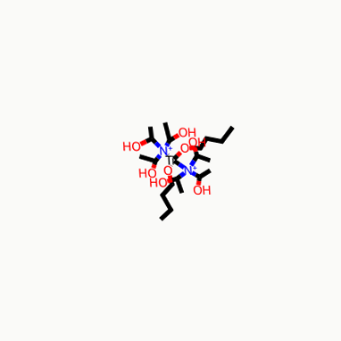 CCCC[O][Ti]([O]CCCC)([N+](C(C)O)(C(C)O)C(C)O)[N+](C(C)O)(C(C)O)C(C)O